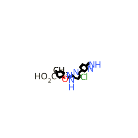 Cc1ccc(Oc2nc3nc(-c4ccc5c[nH]nc5c4)c(Cl)cc3[nH]2)cc1C(=O)O